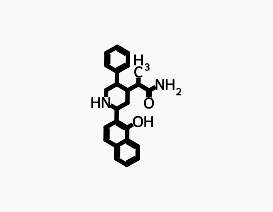 CC(C(N)=O)C1CC(c2ccc3ccccc3c2O)NCC1c1ccccc1